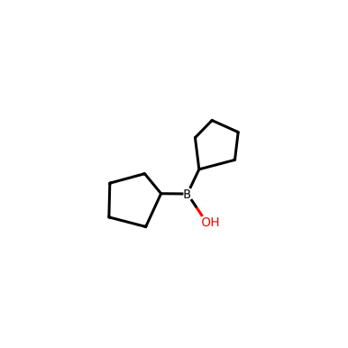 OB(C1CCCC1)C1CCCC1